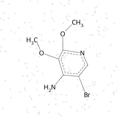 COc1ncc(Br)c(N)c1OC